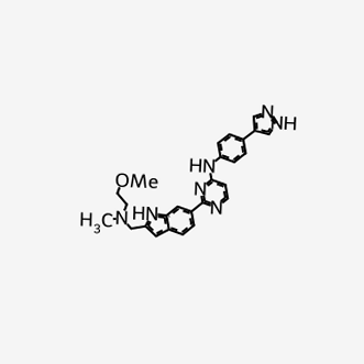 COCCN(C)Cc1cc2ccc(-c3nccc(Nc4ccc(-c5cn[nH]c5)cc4)n3)cc2[nH]1